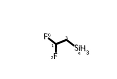 FC(F)C[SiH3]